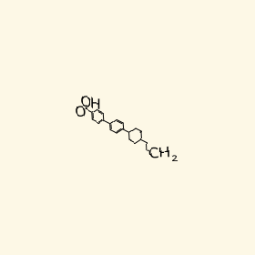 C=CCC1CCC(c2ccc(-c3ccc(C(=O)O)cc3)cc2)CC1